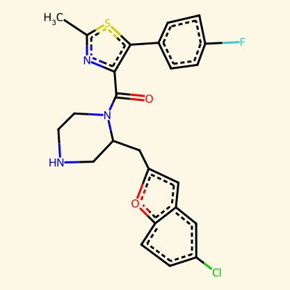 Cc1nc(C(=O)N2CCNCC2Cc2cc3cc(Cl)ccc3o2)c(-c2ccc(F)cc2)s1